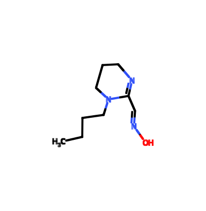 CCCCN1CCCN=C1/C=N/O